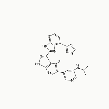 CC(C)Nc1cncc(-c2cnc3[nH]nc(-c4nc5c(-c6ccsc6)ccnc5[nH]4)c3c2F)c1